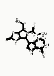 C=C1OC2C(O1)C(c1c[nH]c3c(=O)[nH]cnc13)N(C(=O)OC(C)(C)C)C2CO